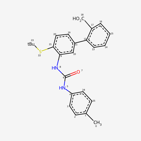 Cc1ccc(NC(=O)Nc2cc(-c3ccccc3C(=O)O)ccc2SC(C)(C)C)cc1